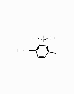 CC(C)(C)NN.Cc1ccc(S(=O)(=O)O)cc1